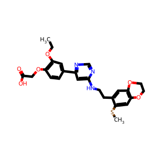 CCOc1cc(-c2cc(NCCc3cc4c(cc3SC)OCCO4)ncn2)ccc1OCC(=O)O